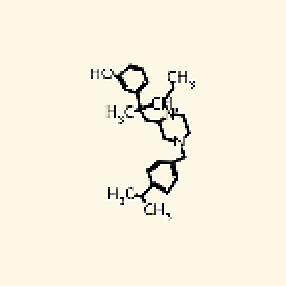 CCCN1CCN(Cc2ccc(C(C)C)cc2)CC1CC(C)(C)c1cccc(O)c1